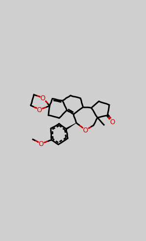 COc1ccc([C@@H]2OCC3(C)C(=O)CCC3C3CCC4=CC5(CCC4=C32)OCCO5)cc1